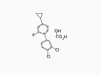 Fc1cc(C2CC2)ccc1-c1ccc(Cl)c(Cl)c1.O=C(O)O